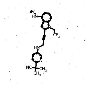 CC(C)Nc1cccc2c1cc(C#CCNc1ccc(C(C)(C)C#N)nc1)n2CC(F)(F)F